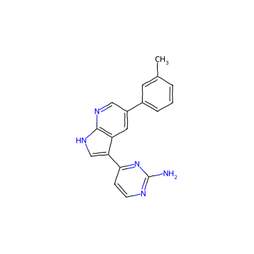 Cc1cccc(-c2cnc3[nH]cc(-c4ccnc(N)n4)c3c2)c1